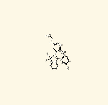 CCOC(=O)CC1OC(c2ccccc2C(F)(F)F)c2cc(Cl)ccc2NC1=S